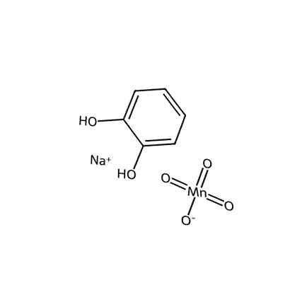 Oc1ccccc1O.[Na+].[O]=[Mn](=[O])(=[O])[O-]